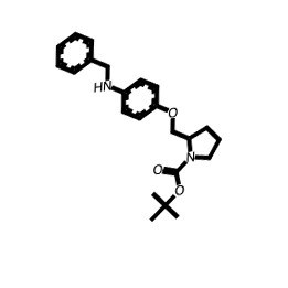 CC(C)(C)OC(=O)N1CCCC1COc1ccc(NCc2ccccc2)cc1